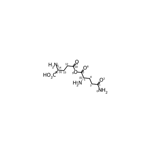 NC(=O)CC[C@H](N)C(=O)OC(=O)CC[C@H](N)C(=O)O